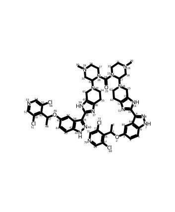 CC(Oc1ccc2[nH]nc(-c3nc4c([nH]3)CN(C3CN(C)CCN3C(=O)N3CCN(C)CC3N3CCc5nc(-c6n[nH]c7ccc(OC(C)c8c(Cl)cncc8Cl)cc67)[nH]c5C3)CC4)c2c1)c1c(Cl)cncc1Cl